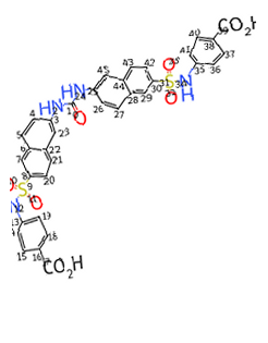 O=C(Nc1ccc2cc(S(=O)(=O)Nc3ccc(C(=O)O)cc3)ccc2c1)Nc1ccc2cc(S(=O)(=O)Nc3ccc(C(=O)O)cc3)ccc2c1